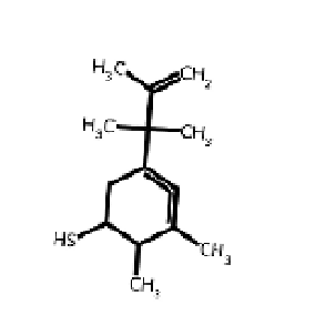 C=C(C)C(C)(C)C1=C=C(C)C(C)C(S)C1